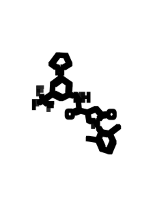 Cc1cccc(C)c1N1CC(C(=O)Nc2cc(N3CCCC3)cc(C(F)(F)F)c2)CC1=O